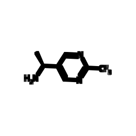 C[C@H](N)c1cnc(C(F)(F)F)nc1